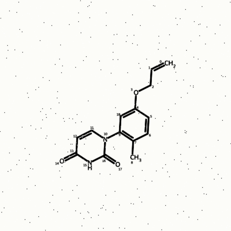 C=CCOc1ccc(C)c(-n2ccc(=O)[nH]c2=O)c1